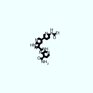 CCC(=O)Nc1ccc(-c2cnc3[nH]nc(-c4nc5c(C(N)=O)ccnc5[nH]4)c3c2)cn1